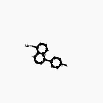 COc1cccc2c(-c3ccc(C)cc3)cccc12